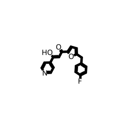 O=C(C=C(O)c1ccncc1)c1ccc(Cc2ccc(F)cc2)o1